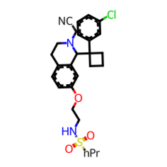 CCCS(=O)(=O)NCCOc1ccc2c(c1)C(C1(c3cccc(Cl)c3)CCC1)N(CC#N)CC2